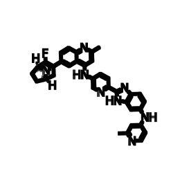 Cc1cc(Nc2ccc3nc(-c4ccc(Nc5cc(C)nc6ccc(C7=C(F)[C@@H]8CC[C@H](C7)N8C)cc56)cn4)[nH]c3c2)ccn1